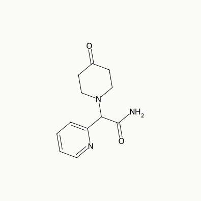 NC(=O)C(c1ccccn1)N1CCC(=O)CC1